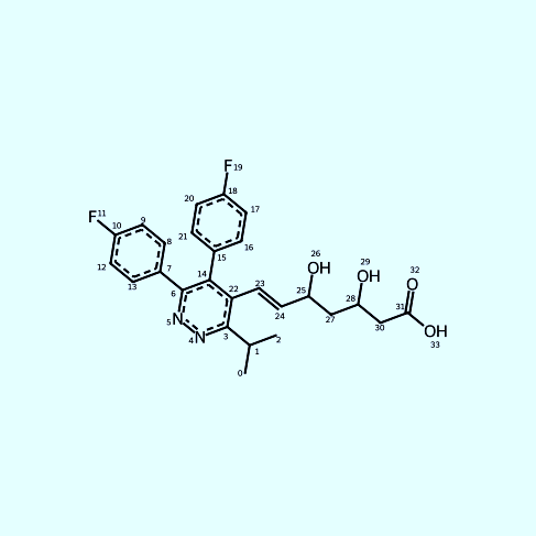 CC(C)c1nnc(-c2ccc(F)cc2)c(-c2ccc(F)cc2)c1/C=C/C(O)CC(O)CC(=O)O